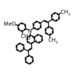 COc1ccc(N(c2ccc(C=C(c3ccc(C)cc3)c3ccc(C)cc3)cc2)c2ccc(C=C(c3ccccc3)c3ccccc3)c3ccccc23)c(C)c1